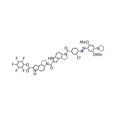 COc1cc(N2CCCC2)c(OC)cc1/N=N/c1ccc(C(=O)N2CCc3c2ccc2[nH]c(C(=O)N4CCc5c4ccc4[nH]c(C(=O)Oc6c(F)c(F)c(F)c(F)c6F)cc54)cc32)cc1Cl